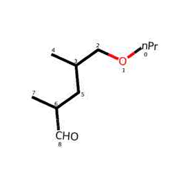 CCCOCC(C)CC(C)C=O